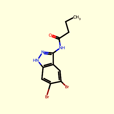 CCCC(=O)Nc1n[nH]c2cc(Br)c(Br)cc12